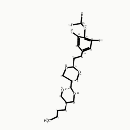 CCCC[C@H]1CO[C@H]([C@H]2CO[C@H](CCc3cc(F)c(OC(F)F)c(F)c3)OC2)OC1